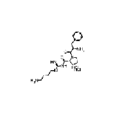 Cl.Cl.N=C(NCCCCN)NC(=O)[C@@H]1CCCN1C(=O)[C@H](N)Cc1ccccc1